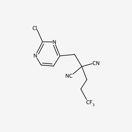 N#CC(C#N)(CCC(F)(F)F)Cc1ccnc(Cl)n1